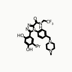 CC(C)c1cc(-c2nnc(C(=O)NCC(F)(F)F)n2-c2ccc(CN3CCN(C)CC3)cc2)c(O)cc1O